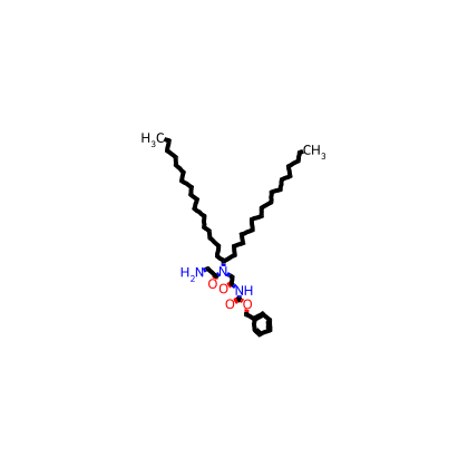 CCCCCCCCCCCCCCCCCC(CCCCCCCCCCCCCCCCC)N(CC(=O)NC(=O)OCc1ccccc1)C(=O)CN